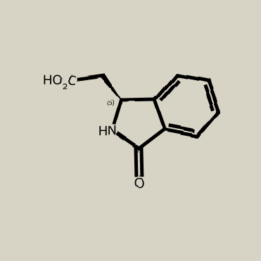 O=C(O)C[C@@H]1NC(=O)c2ccccc21